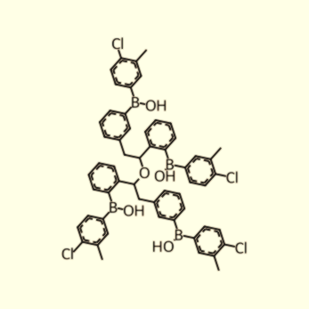 Cc1cc(B(O)c2cccc(CC(OC(Cc3cccc(B(O)c4ccc(Cl)c(C)c4)c3)c3ccccc3B(O)c3ccc(Cl)c(C)c3)c3ccccc3B(O)c3ccc(Cl)c(C)c3)c2)ccc1Cl